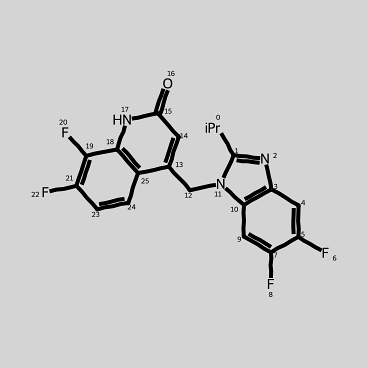 CC(C)c1nc2cc(F)c(F)cc2n1Cc1cc(=O)[nH]c2c(F)c(F)ccc12